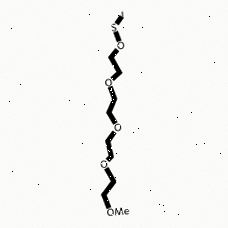 COCCOCCOCCOCCOSI